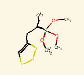 CO[Si](OC)(OC)C(C)CC1=CSSS1